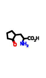 NC(CC1CCCC1=O)C(=O)O